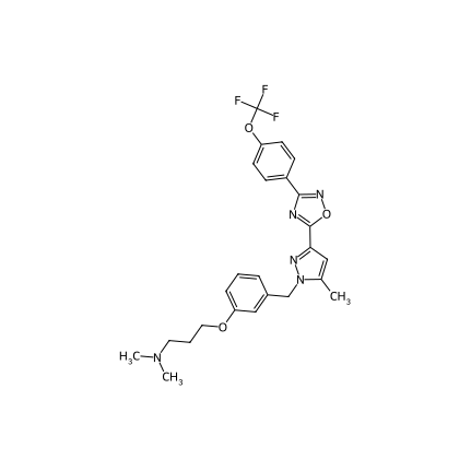 Cc1cc(-c2nc(-c3ccc(OC(F)(F)F)cc3)no2)nn1Cc1cccc(OCCCN(C)C)c1